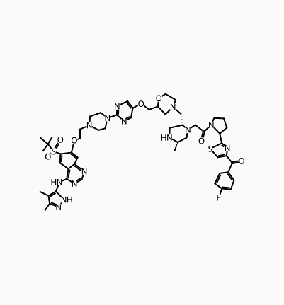 Cc1n[nH]c(Nc2ncnc3cc(OCCN4CCN(c5ncc(OCC6CN(C[C@H]7CN[C@H](C)CN7CC(=O)N7CCCC7c7nc(C(=O)c8ccc(F)cc8)cs7)CCO6)cn5)CC4)c(S(=O)(=O)C(C)(C)C)cc23)c1C